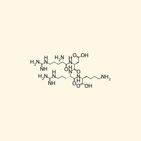 N=C(N)NCCC[C@H](NC(=O)[C@H](CC(=O)O)NC(=O)[C@@H](N)CCCNC(=N)N)C(=O)N[C@@H](CCCCN)C(=O)O